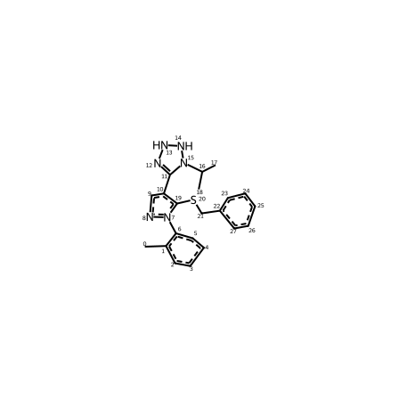 Cc1ccccc1-n1ncc(C2=NNNN2C(C)C)c1SCc1ccccc1